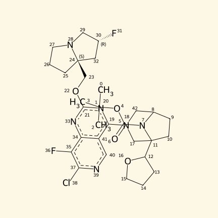 CC(C)(C)OC(=O)N1C2CCC1(C1CCCO1)CN(c1nc(OC[C@@]34CCCN3C[C@H](F)C4)nc3c(F)c(Cl)ncc13)C2